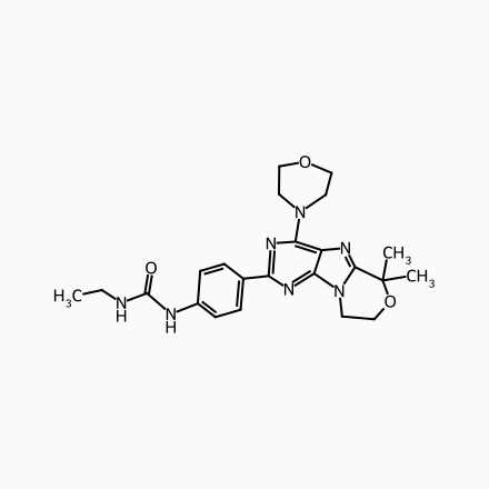 CCNC(=O)Nc1ccc(-c2nc(N3CCOCC3)c3nc4n(c3n2)CCOC4(C)C)cc1